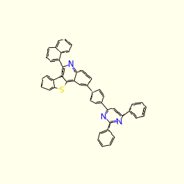 c1ccc(-c2cc(-c3ccc(-c4ccc5nc(-c6cccc7ccccc67)c6c7ccccc7sc6c5c4)cc3)nc(-c3ccccc3)n2)cc1